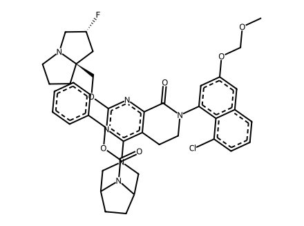 COCOc1cc(N2CCc3c(nc(OC[C@@]45CCCN4C[C@H](F)C5)nc3N3CC4CCC(C3)N4C(=O)OCc3ccccc3)C2=O)c2c(Cl)cccc2c1